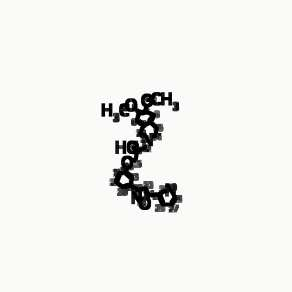 COc1cc2c(cc1OC)CN(CC(O)COc1cccc(-c3cc(-c4cccnc4)on3)c1)CC2